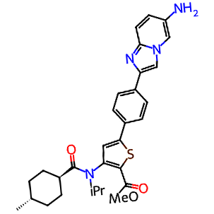 COC(=O)c1sc(-c2ccc(-c3cn4cc(N)ccc4n3)cc2)cc1N(C(=O)[C@H]1CC[C@H](C)CC1)C(C)C